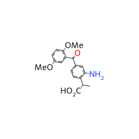 COc1ccc(OC)c(C(=O)c2ccc(C(C)C(=O)O)c(N)c2)c1